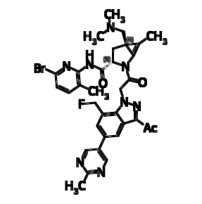 CC(=O)c1nn(CC(=O)N2C3=C(C)[C@@]3(CN(C)C)C[C@H]2C(=O)Nc2nc(Br)ccc2C)c2c(CF)cc(-c3cnc(C)nc3)cc12